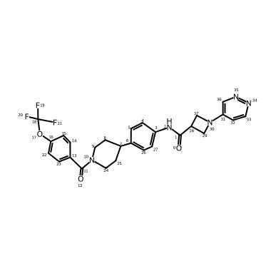 O=C(Nc1ccc(C2CCN(C(=O)c3ccc(OC(F)(F)F)cc3)CC2)cc1)C1CN(c2ccnnc2)C1